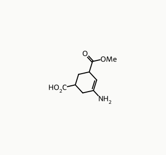 COC(=O)C1C=C(N)CC(C(=O)O)C1